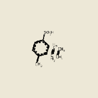 C=C.C=C.Cc1ccc(S(=O)(=O)O)cc1